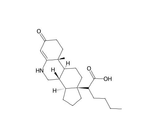 CCCCC(C(=O)O)[C@@]12CCC[C@H]1[C@@H]1CNC3=CC(=O)CC[C@]3(C)[C@H]1CC2